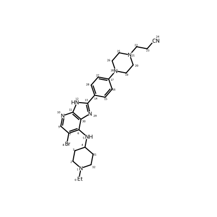 CCN1CCC(Nc2c(Br)cnc3[nH]c(-c4ccc(N5CCN(CCC#N)CC5)cc4)nc23)CC1